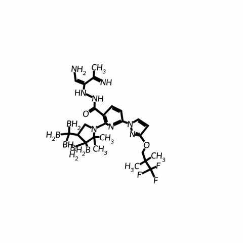 BC(B)(B)C1CN(c2nc(-n3ccc(OCC(C)(C)C(F)(F)F)n3)ccc2C(=O)NN/C(=C/N)C(C)=N)C(C)(C)C1(B)B